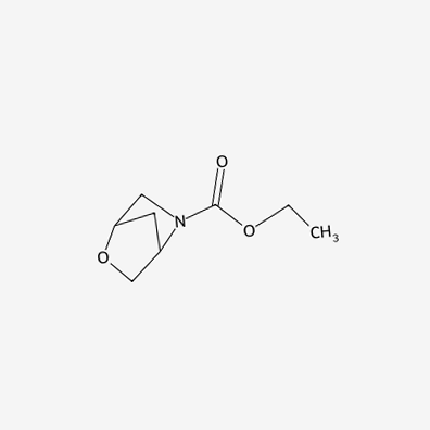 CCOC(=O)N1CC2CC1CO2